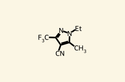 CCn1nc(C(F)(F)F)c(C#N)c1C